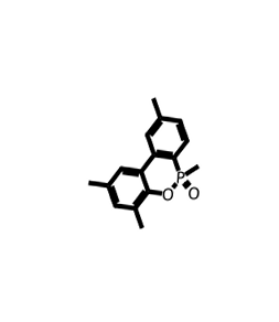 Cc1ccc2c(c1)-c1cc(C)cc(C)c1OP2(C)=O